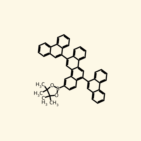 CC1(C)OB(c2ccc3c(-c4cc5ccccc5c5ccccc45)cc4c5ccccc5c(-c5cc6ccccc6c6ccccc56)cc4c3c2)OC1(C)C